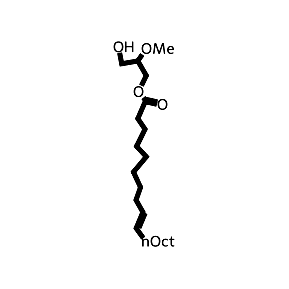 CCCCCCCC/C=C/CCCCCCCC(=O)OCC(CO)OC